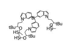 C[SiH](C)OC(CCn1ccc2cc[c]([Bi]([c]3ccc4ccn(CCC(O[SiH](C)C)C(C)(C)C)c4c3)[c]3ccc4ccn(CCC(O[SiH](C)C)C(C)(C)C)c4c3)cc21)C(C)(C)C